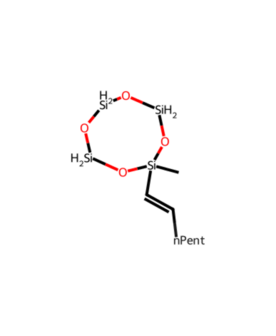 CCCCCC=C[Si]1(C)O[SiH2]O[SiH2]O[SiH2]O1